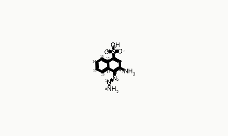 NN=Nc1c(N)cc(S(=O)(=O)O)c2ccccc12